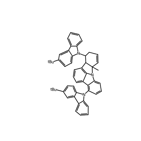 CC(C)(C)c1ccc2c(c1)c1ccccc1n2-c1cccc2c1c1cccc3c1n2C1(C)C=CCC(n2c4ccccc4c4cc(C(C)(C)C)ccc42)C31